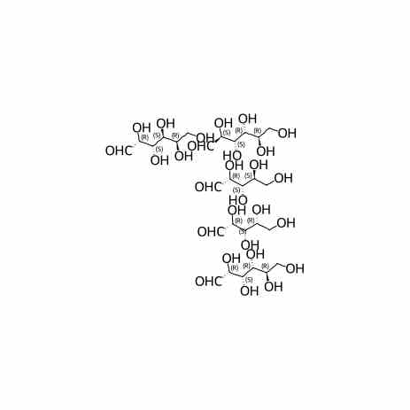 O=C[C@@H](O)[C@@H](O)[C@H](O)[C@H](O)CO.O=C[C@H](O)[C@@H](O)[C@@H](O)CO.O=C[C@H](O)[C@@H](O)[C@@H](O)[C@H](O)CO.O=C[C@H](O)[C@@H](O)[C@H](O)CO.O=C[C@H](O)[C@@H](O)[C@H](O)[C@H](O)CO